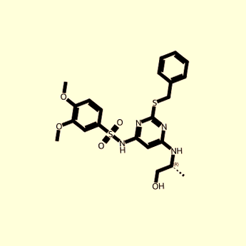 COc1ccc(S(=O)(=O)Nc2cc(N[C@H](C)CO)nc(SCc3ccccc3)n2)cc1OC